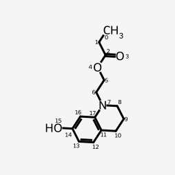 CCC(=O)OCCN1CCCc2ccc(O)cc21